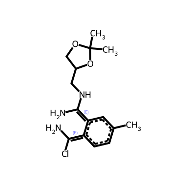 Cc1ccc(=C(/N)Cl)/c(=C(\N)NCC2COC(C)(C)O2)c1